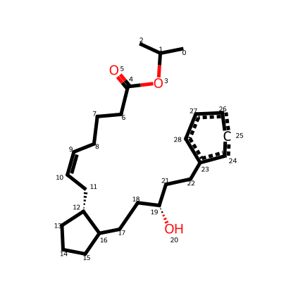 CC(C)OC(=O)CCC/C=C\C[C@H]1CCCC1CC[C@@H](O)CCc1ccccc1